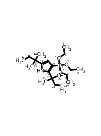 CC[O][Ti]([O]CC)([O]CC)[c]1cc(C(C)(C)CC)[nH]c1C(C)(C)CC